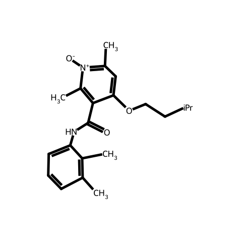 Cc1cccc(NC(=O)c2c(OCCC(C)C)cc(C)[n+]([O-])c2C)c1C